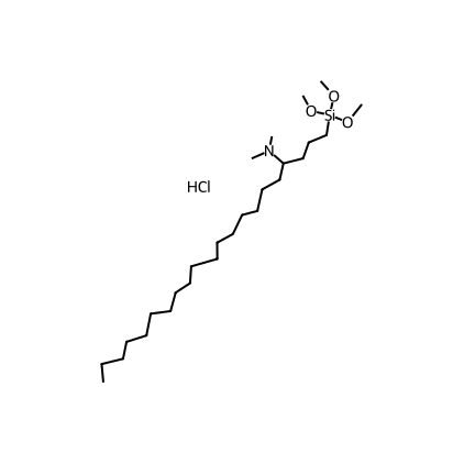 CCCCCCCCCCCCCCCCCC(CCC[Si](OC)(OC)OC)N(C)C.Cl